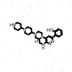 Oc1ccccc1-c1cc2c(nn1)NC[C@H]1CN(C3CCN(C4CCNCC4)CC3)CCN21